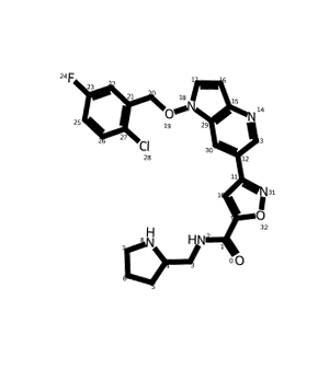 O=C(NCC1CCCN1)c1cc(-c2cnc3ccn(OCc4cc(F)ccc4Cl)c3c2)no1